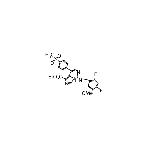 CCOC(=O)c1ncn2c(NCc3cc(OC)c(F)cc3F)ncc(-c3ccc(S(C)(=O)=O)cc3)c12